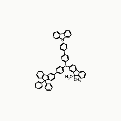 CC1(C)c2ccccc2-c2ccc(N(c3ccc(-c4ccc(-n5c6ccccc6c6ccccc65)cc4)cc3)c3ccc(-c4ccc5c(c4)C4=C(C=CCC4)C5(C4=CCCC=C4)c4ccccc4)cc3)cc21